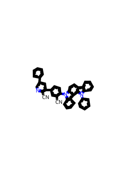 N#Cc1cc(-c2cc(-c3ccccc3)cnc2C#N)ccc1-n1c2ccccc2c2c1ccc1c3ccccc3n(-c3ccccc3)c12